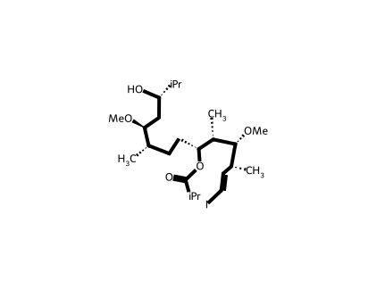 CO[C@@H]([C@@H](C)[C@@H](CC[C@H](C)[C@H](C[C@H](O)C(C)C)OC)OC(=O)C(C)C)[C@H](C)/C=C/I